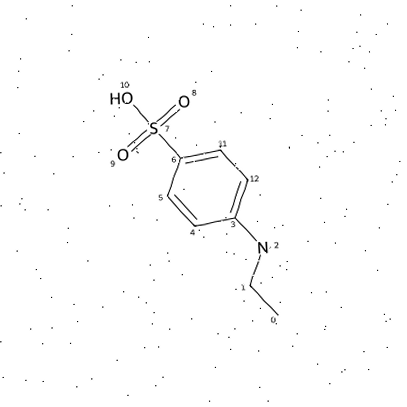 CC[N]c1ccc(S(=O)(=O)O)cc1